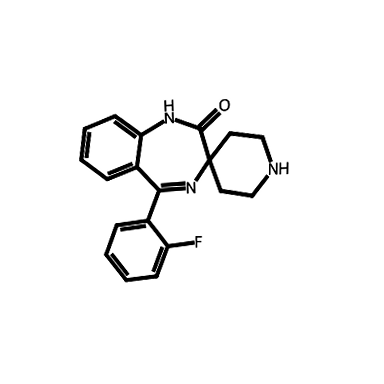 O=C1Nc2ccccc2C(c2ccccc2F)=NC12CCNCC2